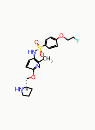 Cc1nc(OC[C@@H]2CCCN2)ccc1NS(=O)(=O)c1ccc(OCCF)cc1